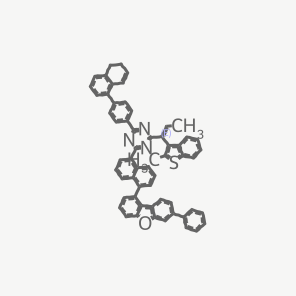 C/C=C(/c1nc(-c2ccc(-c3cccc4c3C=CCC4)cc2)nc(-c2cccc3c(-c4cccc5oc6cc(-c7ccccc7)ccc6c45)cccc23)n1)c1c(C)sc2ccccc12